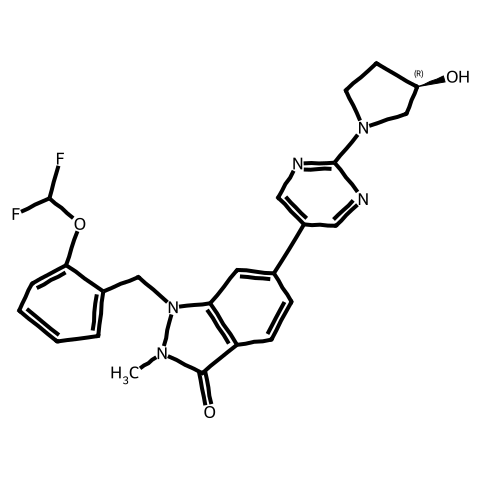 Cn1c(=O)c2ccc(-c3cnc(N4CC[C@@H](O)C4)nc3)cc2n1Cc1ccccc1OC(F)F